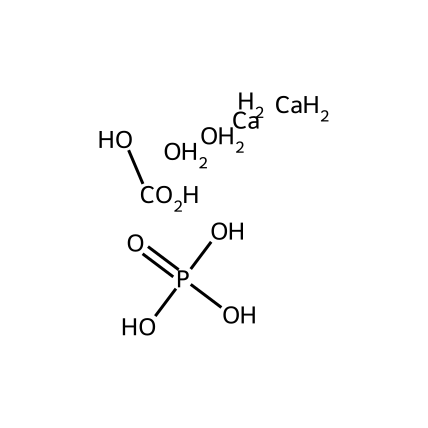 O.O.O=C(O)O.O=P(O)(O)O.[CaH2].[CaH2]